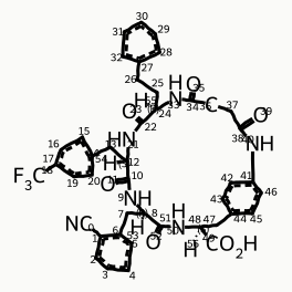 N#Cc1ccccc1C[C@H]1NC(=O)[C@H](Cc2ccc(C(F)(F)F)cc2)NC(=O)[C@@H](CCc2ccccc2)NC(=O)CCC(=O)Nc2ccc(cc2)C[C@@H](C(=O)O)NC1=O